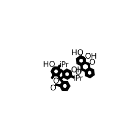 Cc1cc(O)c(C(C)C)cc1C1(c2cc(C(C)C)c(O)cc2C)OC(=O)c2ccccc21.O=C1c2ccccc2C(=O)c2c1ccc(O)c2O